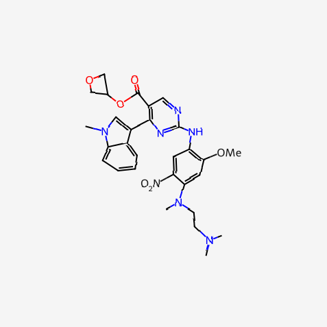 COc1cc(N(C)CCN(C)C)c([N+](=O)[O-])cc1Nc1ncc(C(=O)OC2COC2)c(-c2cn(C)c3ccccc23)n1